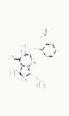 CCOc1ccccc1Cc1nc2c(CC(C)C)n[nH]c2c(=O)[nH]1